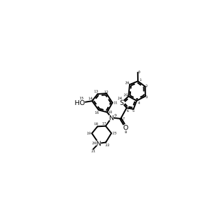 Cc1ccc2cc(C(=O)N(c3cccc(O)c3)C3CCN(C)CC3)sc2c1